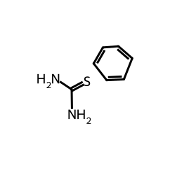 NC(N)=S.c1ccccc1